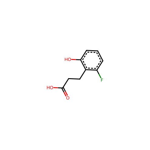 O=C(O)CCc1c(O)cccc1F